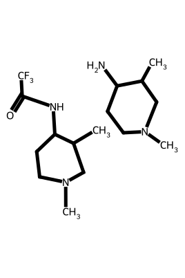 CC1CN(C)CCC1N.CC1CN(C)CCC1NC(=O)C(F)(F)F